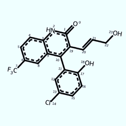 O=c1[nH]c2ccc(C(F)(F)F)cc2c(-c2cc(Cl)ccc2O)c1/C=C/CO